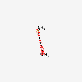 COC(COCCOCCOCCOCCOCCOCCOCCOCCOS(=O)(=O)c1ccc(C)cc1)OC